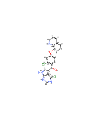 O=C(c1ccc(Oc2cccc3cccnc23)cc1Cl)c1c[nH]c2ncnc(Cl)c12